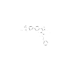 Cc1noc(-c2ccc(-c3ccc(C4(C(=O)O)CC4)cc3)cc2)c1[C@@H](O)C(=O)NCCc1ccccc1